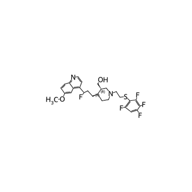 COc1ccc2nccc(C(F)CC[C@@H]3CCN(CCSc4c(F)cc(F)c(F)c4F)C[C@@H]3CO)c2c1